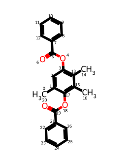 Cc1cc(OC(=O)c2ccccc2)c(C)c(C)c1OC(=O)c1ccccc1